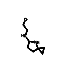 [O]CCNC1CCC2(CC2)N1